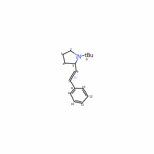 CC(C)(C)N1CCCC1/C=C/c1ccccc1